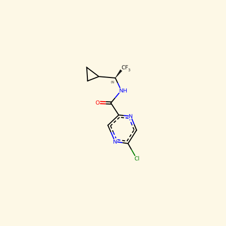 O=C(N[C@@H](C1CC1)C(F)(F)F)c1cnc(Cl)cn1